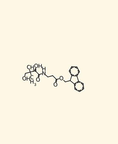 CC(C)(CO)[C@@H](O)C(=O)NCCC(=O)OCC1c2ccccc2-c2ccccc21